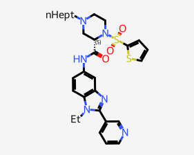 CCCCCCCN1CCN(S(=O)(=O)c2cccs2)[C@H](C(=O)Nc2ccc3c(c2)nc(-c2cccnc2)n3CC)C1